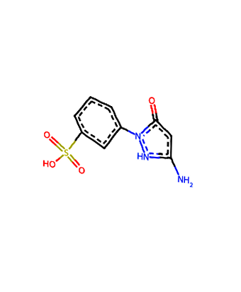 Nc1cc(=O)n(-c2cccc(S(=O)(=O)O)c2)[nH]1